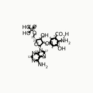 Nc1c(O)cccc1C(=O)O.Nc1ncnc2c1ncn2[C@@H]1O[C@H](COP(=O)(O)O)[C@@H](O)[C@H]1O